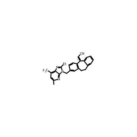 CCc1nc2c(C(F)(F)F)cc(C)nc2n1Cc1ccc2c(c1)CCc1ccccc1/C2=C\C#N